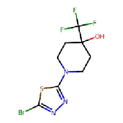 OC1(C(F)(F)F)CCN(c2nnc(Br)s2)CC1